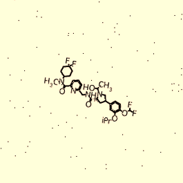 CC(C)Oc1cc(C2C[C@H](C(=O)NCc3cccc(C(=O)N(C)C4CCC(F)(F)CC4)n3)N(C(C)O)C2)ccc1OC(F)F